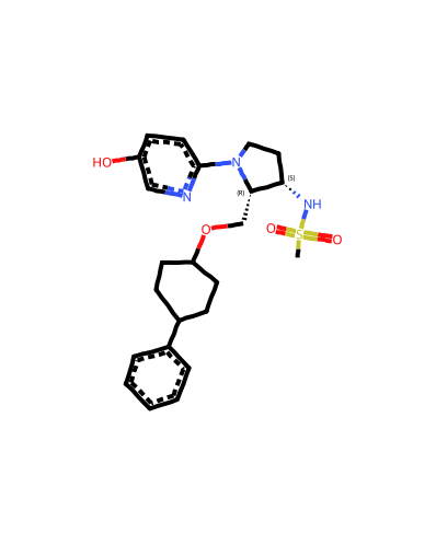 CS(=O)(=O)N[C@H]1CCN(c2ccc(O)cn2)[C@H]1COC1CCC(c2ccccc2)CC1